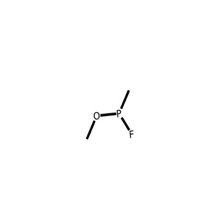 COP(C)F